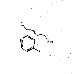 Fc1ccccc1.OCCCCCl